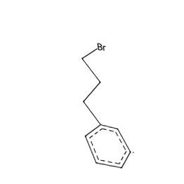 BrCCCc1c[c]ccc1